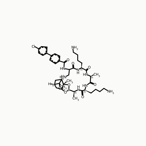 C[C@H](NC(=O)[C@H](CCCCN)NC(=O)[C@H](C)NC(=O)[C@H](CCCCN)NC(=O)C(CN)NC(=O)c1ccc(-c2ccc(Cl)cc2)cc1)B1OC2C[C@@H]3C[C@@H](C3(C)C)[C@]2(C)O1